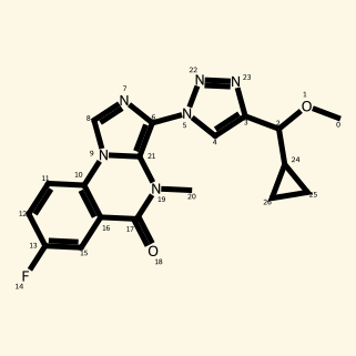 COC(c1cn(-c2ncn3c4ccc(F)cc4c(=O)n(C)c23)nn1)C1CC1